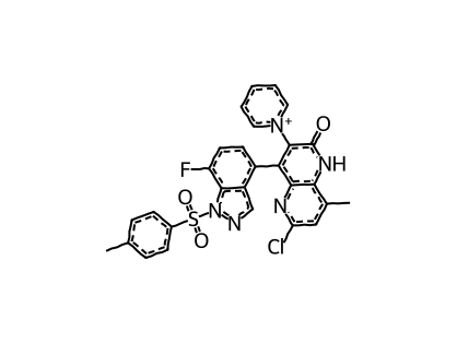 Cc1ccc(S(=O)(=O)n2ncc3c(-c4c(-[n+]5ccccc5)c(=O)[nH]c5c(C)cc(Cl)nc45)ccc(F)c32)cc1